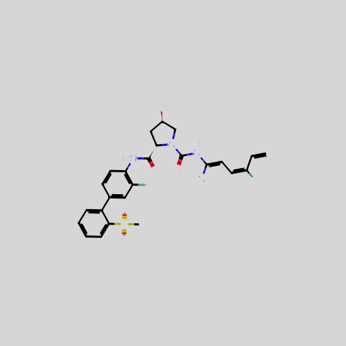 C=C/C(Cl)=C\C=C(/N)NC(=O)N1C[C@H](O)C[C@@H]1C(=O)Nc1ccc(-c2ccccc2S(C)(=O)=O)cc1F